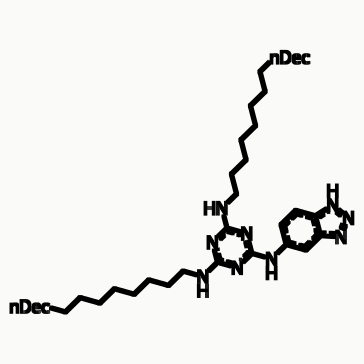 CCCCCCCCCCCCCCCCCCNc1nc(NCCCCCCCCCCCCCCCCCC)nc(Nc2ccc3[nH]nnc3c2)n1